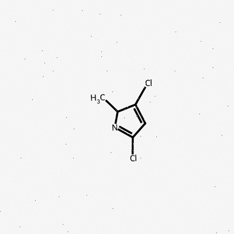 CC1N=C(Cl)C=C1Cl